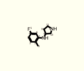 Cc1ccc(F)cc1NC1CCNC1